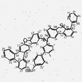 CC(C)(C)c1ccc(-c2cccc(N(c3ccc4oc5cc6c7ccccc7c7ccccc7c6cc5c4c3)c3ccc4sc5c(-c6ccccn6)cccc5c4c3)c2)cc1